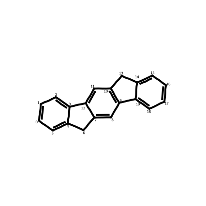 c1ccc2c(c1)Cc1cc3c(cc1-2)Cc1ccccc1-3